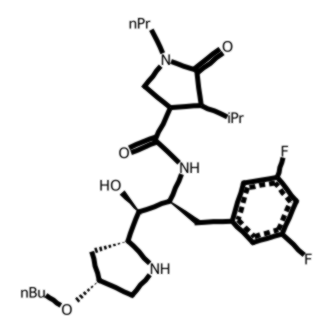 CCCCO[C@H]1CN[C@@H]([C@@H](O)[C@H](Cc2cc(F)cc(F)c2)NC(=O)C2CN(CCC)C(=O)C2C(C)C)C1